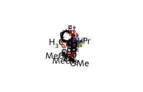 CC[C@H]1CCCC[C@@H](C)C(=O)C2=C[C@@H]3[C@@H](c4nc(C(C)C)sc4C4C[C@@H](OC(OC(C)[C@@H](C)OC)[C@H](COC)OC)C[C@H]43)[C@@H]2CC(=O)O1